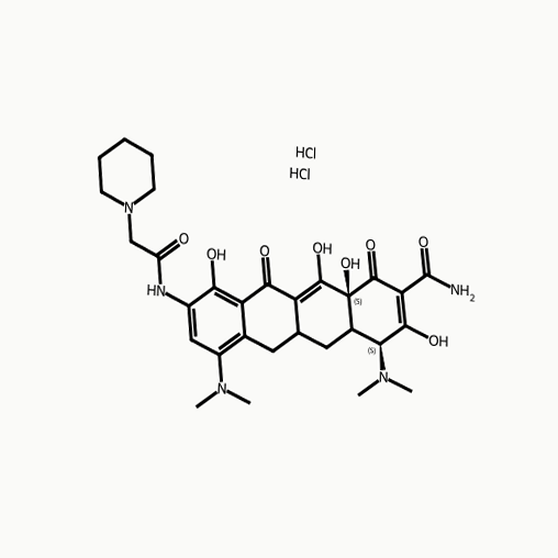 CN(C)c1cc(NC(=O)CN2CCCCC2)c(O)c2c1CC1CC3[C@H](N(C)C)C(O)=C(C(N)=O)C(=O)[C@@]3(O)C(O)=C1C2=O.Cl.Cl